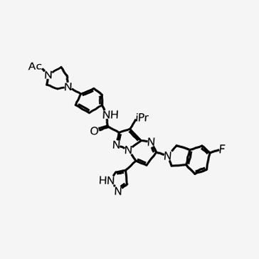 CC(=O)N1CCN(c2ccc(NC(=O)c3nn4c(-c5cn[nH]c5)cc(N5Cc6ccc(F)cc6C5)nc4c3C(C)C)cc2)CC1